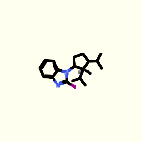 CC(C)C1CCC(n2c(I)nc3ccccc32)[C@@]1(C)C(C)C